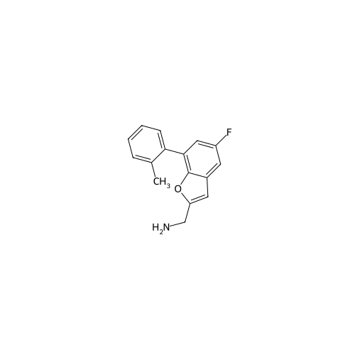 Cc1ccccc1-c1cc(F)cc2cc(CN)oc12